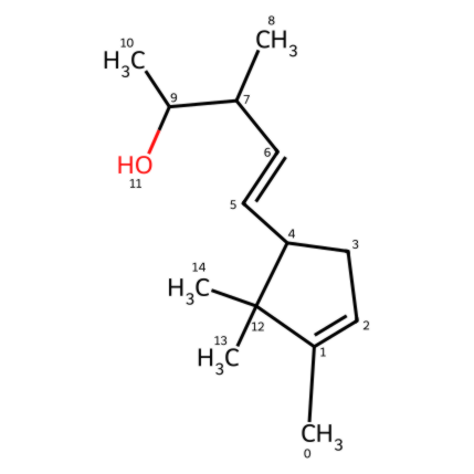 CC1=CCC(C=CC(C)C(C)O)C1(C)C